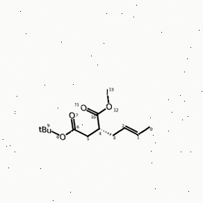 C/C=C/C[C@H](CC(=O)OC(C)(C)C)C(=O)OI